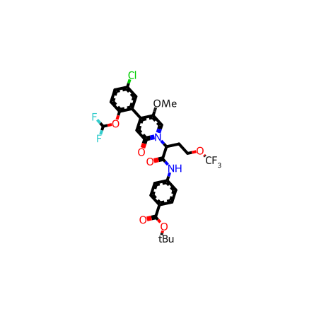 COc1cn(C(CCOC(F)(F)F)C(=O)Nc2ccc(C(=O)OC(C)(C)C)cc2)c(=O)cc1-c1cc(Cl)ccc1OC(F)F